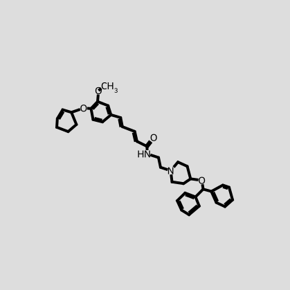 COc1cc(C=CC=CC(=O)NCCN2CCC(OC(c3ccccc3)c3ccccc3)CC2)ccc1OC1C=CCCC1